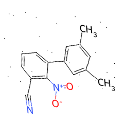 Cc1cc(C)cc(-c2cccc(C#N)c2[N+](=O)[O-])c1